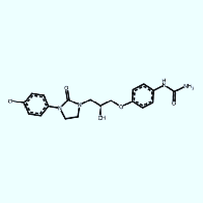 NC(=O)Nc1ccc(OC[C@@H](O)CN2CCN(c3ccc(Cl)cc3)C2=O)cc1